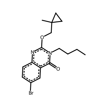 CCCCn1c(OCC2(C)CC2)nc2ccc(Br)cc2c1=O